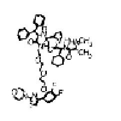 CN[C@@H](C)C(=O)N[C@H](C(=O)N1CCCC1C(=O)N[C@H](C(=O)NCCOCCOCCOc1c(-c2csc(N3CCOCC3)n2)ccc(F)c1F)C(c1ccccc1)c1ccccc1)C1CCCCC1